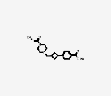 COC(=O)c1ccc(C2CC(CN3CCN(C(=O)OC(C)(C)C)CC3)C2)cc1